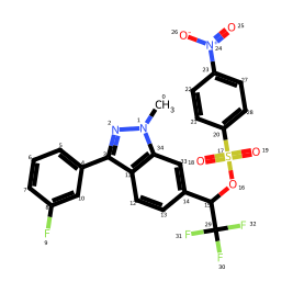 Cn1nc(-c2cccc(F)c2)c2ccc(C(OS(=O)(=O)c3ccc([N+](=O)[O-])cc3)C(F)(F)F)cc21